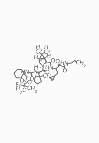 C=CCNC(=O)C(=O)C(CC1CC1)NC(=O)[C@@H]1[C@@H]2[C@H](CN1C(=O)[C@@H](NC(=O)NC1(CS(=O)(=O)C(C)(C)CC)CCCCC1)C1(C)CCCC1)C2(C)C